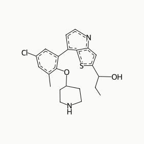 CCC(O)c1cc2nccc(-c3cc(Cl)cc(C)c3OC3CCNCC3)c2s1